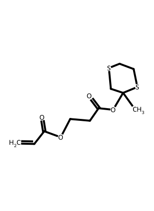 C=CC(=O)OCCC(=O)OC1(C)CSCCS1